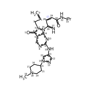 C=CCn1c(=O)c2cnc(Nc3cnn(C4CCN(C)CC4)c3)nc2n1C(=N)/C=C\C(=O)NC(C)C